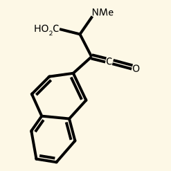 CNC(C(=O)O)C(=C=O)c1ccc2ccccc2c1